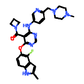 Cc1cc2c(F)c(Oc3ncnc(Nc4ccc(CN5CCN(C)CC5)nc4)c3C(=O)N3CCC3)ccc2[nH]1